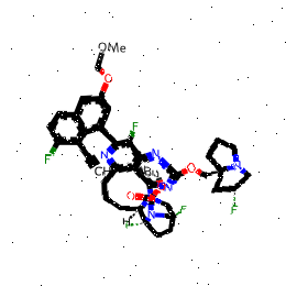 C#Cc1c(F)ccc2cc(OCOC)cc(-c3nc4c5c(nc(OC[C@@]67CCCN6C[C@H](F)C7)nc5c3F)N3C[C@@]5(F)CC[C@@](F)([C@H]3CCC4)N5C(=O)OC(C)(C)C)c12